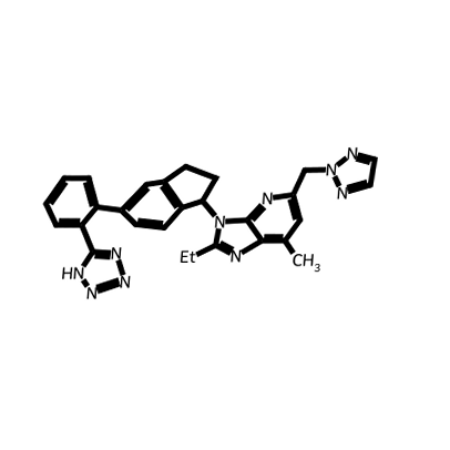 CCc1nc2c(C)cc(Cn3nccn3)nc2n1C1CCc2cc(-c3ccccc3-c3nnn[nH]3)ccc21